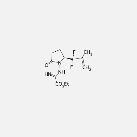 C=C(C)C(F)(F)[C@@H]1CCC(=O)N1NC(=N)C(=O)OCC